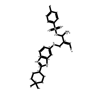 Cc1ccc(S(=O)(=O)OC(N)/C(=C/F)COc2ccc3nc(C4CCC(C)(C)CC4)oc3c2)cc1